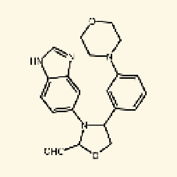 O=CC1OCC(c2cccc(N3CCOCC3)c2)N1c1ccc2[nH]cnc2c1